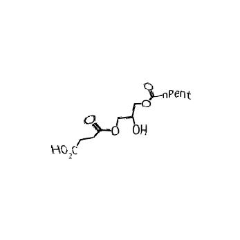 CCCCCC(=O)OCC(O)COC(=O)CCC(=O)O